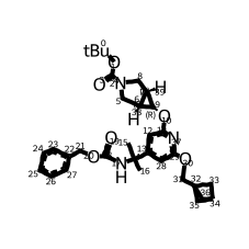 CC(C)(C)OC(=O)N1C[C@@H]2[C@H](C1)[C@@H]2Oc1cc(C(C)(C)NC(=O)OCc2ccccc2)cc(OCC23CC(C2)C3)n1